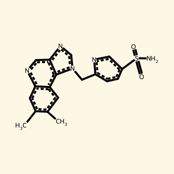 Cc1cc2ncc3ncn(Cc4ccc(S(N)(=O)=O)cn4)c3c2cc1C